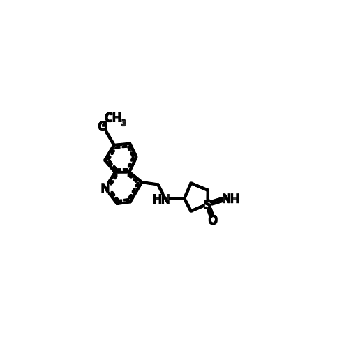 COc1ccc2c(CNC3CCS(=N)(=O)C3)ccnc2c1